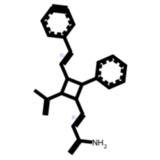 C=C(N)/C=C/C1C(C(=C)C)C(/C=C/c2cc#ccc2)C1c1ccccc1